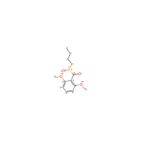 CCCC[PH](=O)C(=O)c1c(OC)cccc1OC